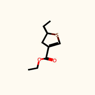 CCOC(=O)C1=CSC(CC)C1